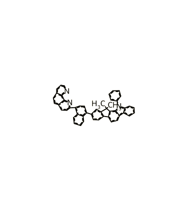 CC1(C)c2cc(-c3ccc(-c4ccc5ccc6cccnc6c5n4)c4ccccc34)ccc2-c2ccc3c4ccccc4n(-c4ccccc4)c3c21